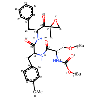 CCCCOC[C@H](NC(=O)OC(C)(C)C)C(=O)N[C@@H](Cc1ccc(OC)cc1)C(=O)N[C@@H](Cc1ccccc1)C(=O)[C@@]1(C)CO1